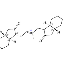 C/C(=C\C[C@H]1C(=O)C[C@H]2CCCC[C@@H]21)CC1C(=O)C[C@H]2CCCC[C@H]12